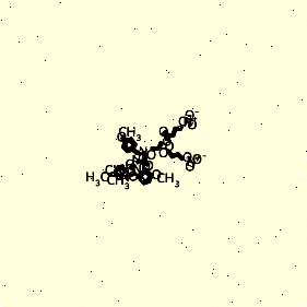 COc1ccc(-c2nc(NS(=O)(=O)c3ccc(C(C)(C)C)cn3)c(Oc3ccccc3OC)c(OCC(COC(=O)CCCO[N+](=O)[O-])OC(=O)CCCO[N+](=O)[O-])n2)cc1